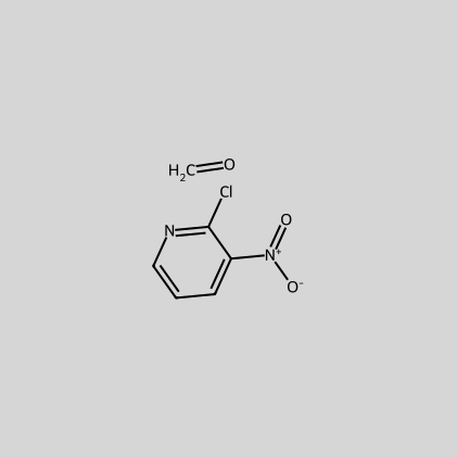 C=O.O=[N+]([O-])c1cccnc1Cl